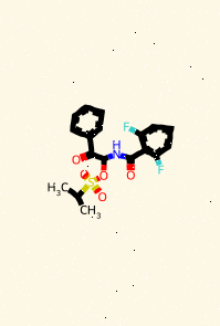 CC(C)S(=O)(=O)OC(NC(=O)c1c(F)cccc1F)C(=O)c1ccccc1